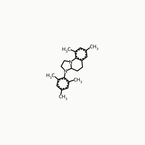 Cc1cc(C)c(N2CCN3c4c(C)cc(C)cc4CCC23)c(C)c1